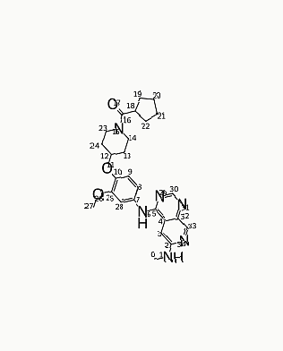 CNc1cc2c(Nc3ccc(OC4CCN(C(=O)C5CCCC5)CC4)c(OC)c3)ncnc2cn1